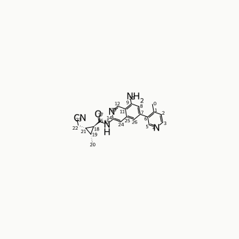 Cc1ccncc1-c1cc(N)c2cnc(NC(=O)[C@H]3[C@H](C)[C@@H]3CC#N)cc2c1